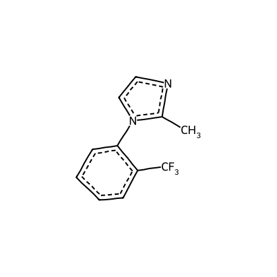 Cc1nccn1-c1ccccc1C(F)(F)F